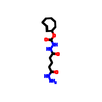 NNC(=O)CCCC(=O)NNC(=O)OC1/C=C/CCCCC1